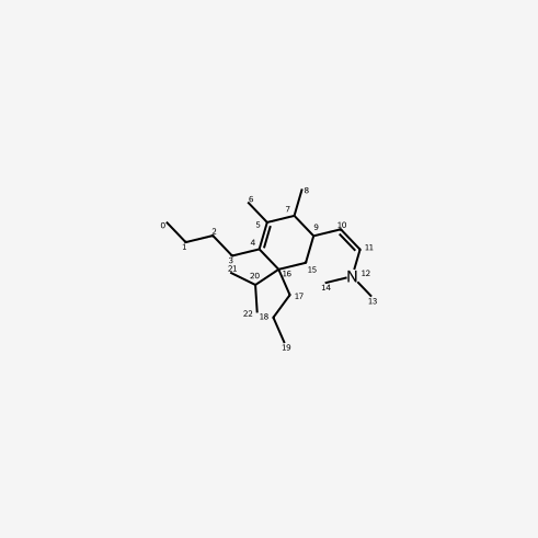 CCCCC1=C(C)C(C)C(/C=C\N(C)C)CC1(CCC)C(C)C